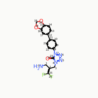 NCC(Cn1nnn(-c2ccc(-c3ccc4c(c3)OCO4)cc2)c1=O)=C(F)F